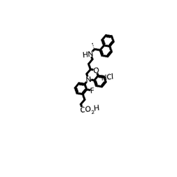 C[C@@H](NCCC1CN(c2cccc(CCC(=O)O)c2F)c2ccccc2O1)c1cccc2ccccc12.Cl